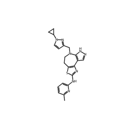 Cc1cccc(Nc2nc3c(s2)CCN(Cc2ccn(C4CC4)n2)c2[nH]ncc2-3)n1